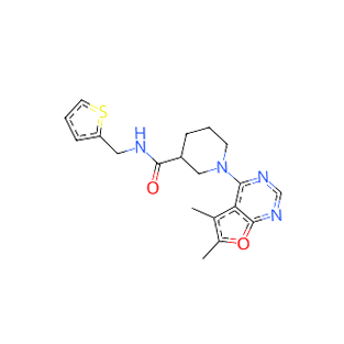 Cc1oc2ncnc(N3CCCC(C(=O)NCc4cccs4)C3)c2c1C